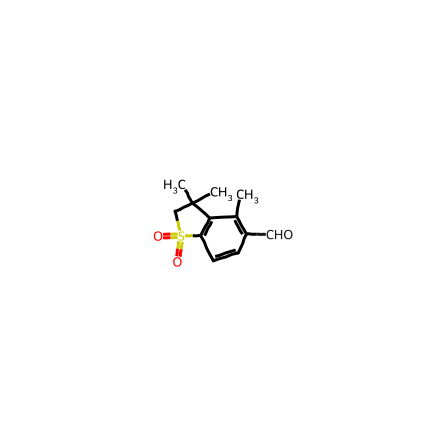 Cc1c(C=O)ccc2c1C(C)(C)CS2(=O)=O